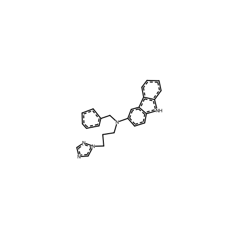 c1ccc(CN(CCCn2cncn2)c2ccc3[nH]c4ccccc4c3c2)cc1